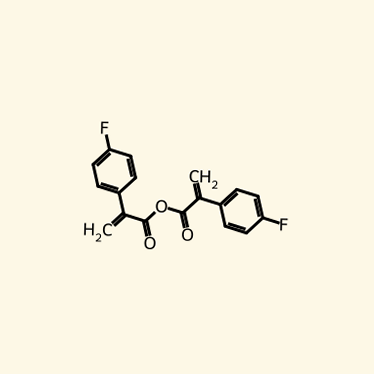 C=C(C(=O)OC(=O)C(=C)c1ccc(F)cc1)c1ccc(F)cc1